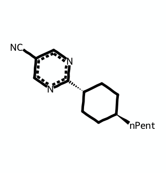 CCCCC[C@H]1CC[C@H](c2ncc(C#N)cn2)CC1